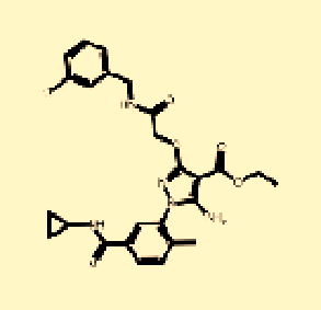 CCOC(=O)c1c(OCC(=O)NCc2cccc(Cl)c2)nn(-c2cc(C(=O)NC3CC3)ccc2C)c1N